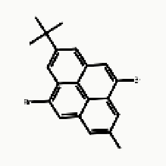 Cc1cc2cc(Br)c3cc(C(C)(C)C)cc4cc(Br)c(c1)c2c43